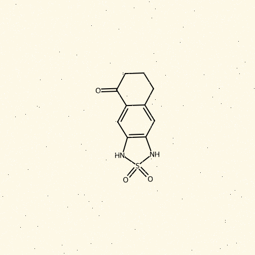 O=C1[C]CCc2cc3c(cc21)NS(=O)(=O)N3